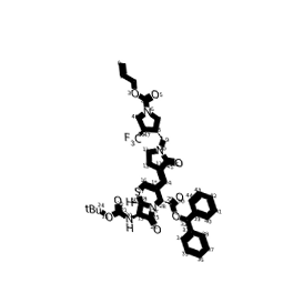 C=CCOC(=O)N1C[C@H](CN2CCC(=CC3=CS[C@@H]4[C@H](NC(=O)OC(C)(C)C)C(=O)N4[C@H]3C(=O)OC(c3ccccc3)c3ccccc3)C2=O)[C@@H](C(F)(F)F)C1